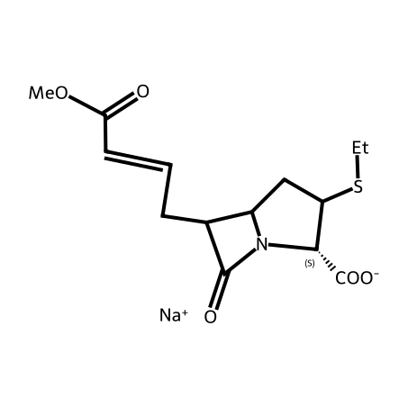 CCSC1CC2C(CC=CC(=O)OC)C(=O)N2[C@H]1C(=O)[O-].[Na+]